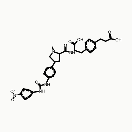 CN1CC(c2ccc(NC(=O)Nc3ccc([N+](=O)[O-])cc3)cc2)CC1C(=O)NC(Cc1ccc(CCC(=O)O)cc1)C(=O)O